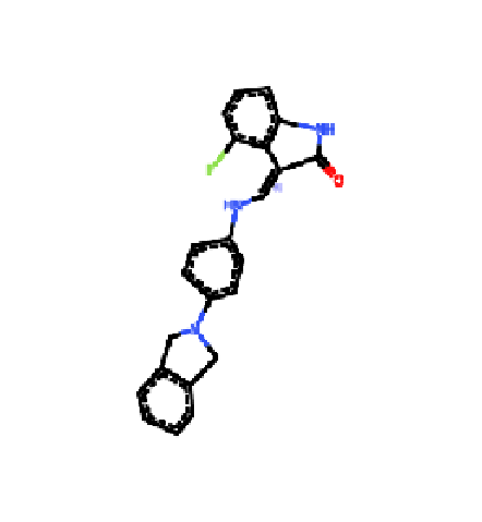 O=C1Nc2cccc(F)c2/C1=C\Nc1ccc(N2Cc3ccccc3C2)cc1